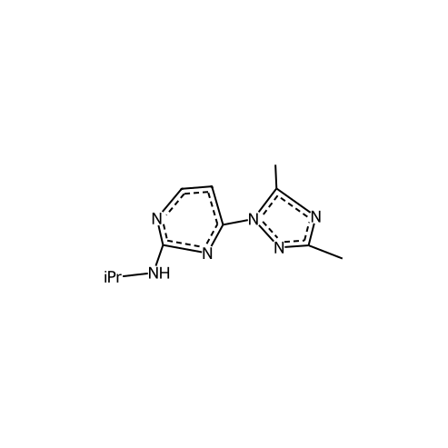 Cc1nc(C)n(-c2ccnc(NC(C)C)n2)n1